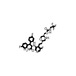 NC(=O)[C@@H](Nc1cncc(F)c1CC[C@@H]1CN[C@H](COC(=O)NCC(F)(F)F)CO1)C(c1ccc(F)cc1)c1ccc(F)cc1